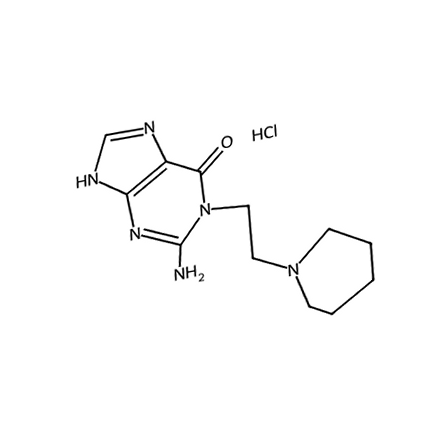 Cl.Nc1nc2[nH]cnc2c(=O)n1CCN1CCCCC1